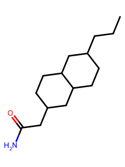 CCCC1CCC2CC(CC(N)=O)CCC2C1